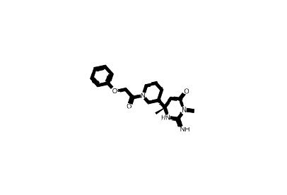 CN1C(=N)N[C@](C)(C2CCCN(C(=O)COc3ccccc3)C2)CC1=O